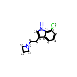 Clc1cccc2c(CCN3CCC3)c[nH]c12